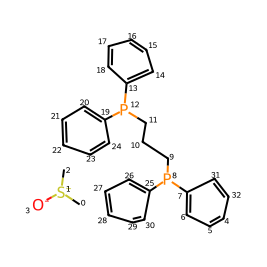 C[S+](C)[O-].c1ccc(P(CCCP(c2ccccc2)c2ccccc2)c2ccccc2)cc1